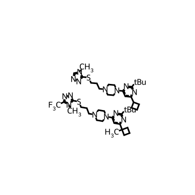 Cn1c(SCCCN2CCN(c3cc(C4(C)CCC4)nc(C(C)(C)C)n3)CC2)nnc1C(F)(F)F.Cn1cnnc1SCCCN1CCN(c2cc(C3CCC3)nc(C(C)(C)C)n2)CC1